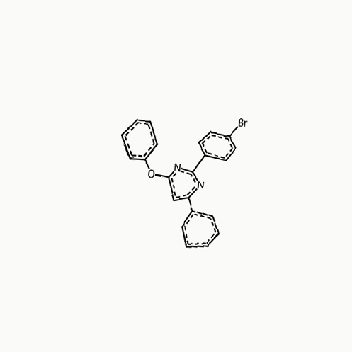 Brc1ccc(-c2nc(Oc3ccccc3)cc(-c3ccccc3)n2)cc1